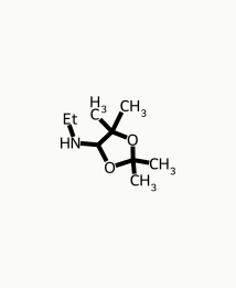 CCNC1OC(C)(C)OC1(C)C